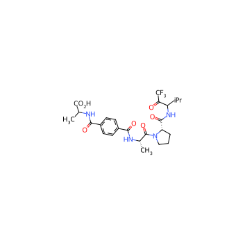 CC(NC(=O)c1ccc(C(=O)N[C@@H](C)C(=O)N2CCC[C@H]2C(=O)NC(C(=O)C(F)(F)F)C(C)C)cc1)C(=O)O